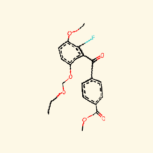 CCOCOc1ccc(OC)c(F)c1C(=O)c1ccc(C(=O)OC)cc1